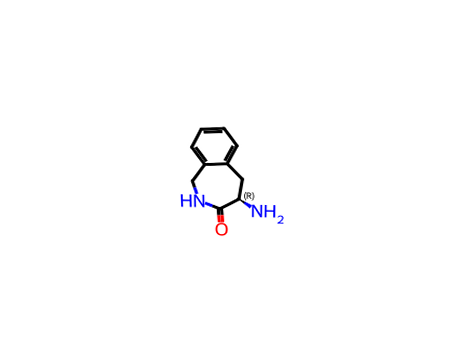 N[C@@H]1Cc2ccccc2CNC1=O